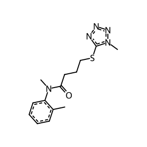 Cc1ccccc1N(C)C(=O)CCCSc1nnnn1C